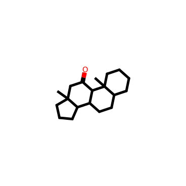 CC12CCCC1C1CCC3CCCCC3(C)C1C(=O)C2